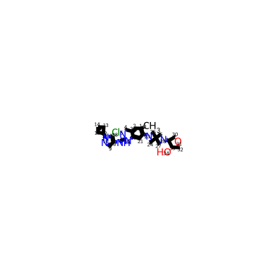 Cc1cc2cnc(Nc3cnn(C45CC(C4)C5)c3Cl)nc2cc1N1CC2(C1)CN(C1COCC1O)C2